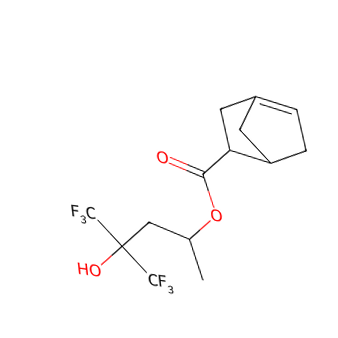 CC(CC(O)(C(F)(F)F)C(F)(F)F)OC(=O)C1CC2=CCC1C2